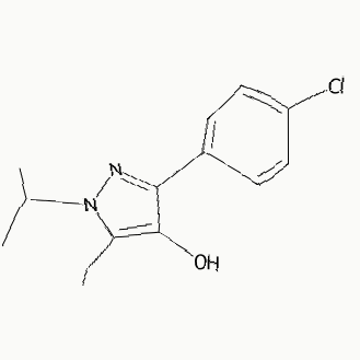 Cc1c(O)c(-c2ccc(Cl)cc2)nn1C(C)C